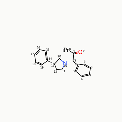 CC(C)C(=O)[C@H](c1ccccc1)N1CC[C@H](c2ccccc2)C1